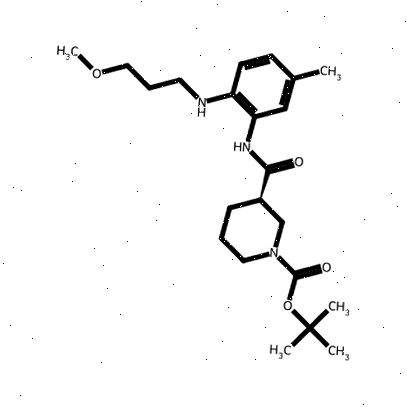 COCCCNc1ccc(C)cc1NC(=O)[C@@H]1CCCN(C(=O)OC(C)(C)C)C1